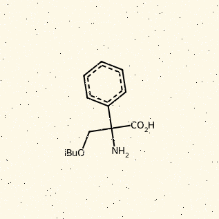 CC(C)COCC(N)(C(=O)O)c1ccccc1